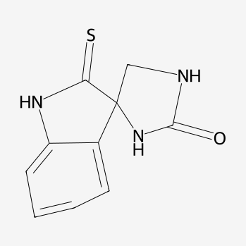 O=C1NCC2(N1)C(=S)Nc1ccccc12